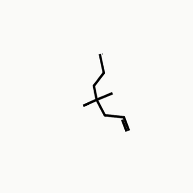 [CH2]CCC(C)(C)CC=C